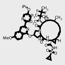 CC[C@@H]1C[C@@H](C)CCC=C[C@@H]2C[C@@]2(C(=O)NS(=O)(=O)C2CC2)NC(=O)[C@@H]2C[C@@H](Oc3nc(-c4ccc(OC(C)C)cn4)cc4cc(OC)ccc34)CN2C(=O)[C@H]1N(C(=O)O)C(C)(C)C(C)(F)F